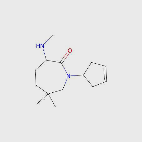 CNC1CCC(C)(C)CN(C2CC=CC2)C1=O